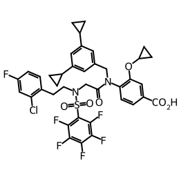 O=C(O)c1ccc(N(Cc2cc(C3CC3)cc(C3CC3)c2)C(=O)CN(CCc2ccc(F)cc2Cl)S(=O)(=O)c2c(F)c(F)c(F)c(F)c2F)c(OC2CC2)c1